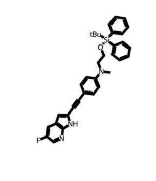 CN(CCO[Si](c1ccccc1)(c1ccccc1)C(C)(C)C)c1ccc(C#Cc2cc3cc(F)cnc3[nH]2)cc1